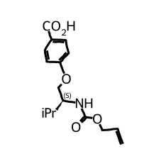 C=CCOC(=O)N[C@H](COc1ccc(C(=O)O)cc1)C(C)C